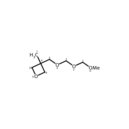 COCOCOCC1(C)COC1